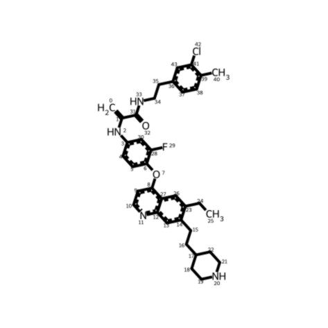 C=C(Nc1ccc(Oc2ccnc3cc(CCC4CCNCC4)c(CC)cc23)c(F)c1)C(=O)NCCc1ccc(C)c(Cl)c1